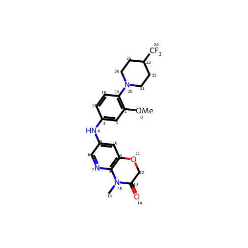 COc1cc(Nc2cnc3c(c2)OCC(=O)N3C)ccc1N1CCC(C(F)(F)F)CC1